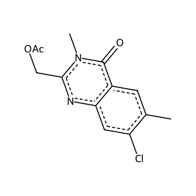 CC(=O)OCc1nc2cc(Cl)c(C)cc2c(=O)n1C